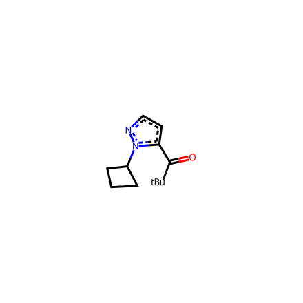 CC(C)(C)C(=O)c1ccnn1C1CCC1